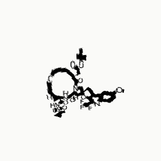 COc1ccc2nc(C(F)(F)F)c3c(c2c1)CC[C@]1(C[C@H]2C(=O)N[C@]4(C(=O)NS(=O)(=O)C5(C)CC5)C[C@H]4/C=C\CCCCC[C@H](CC(=O)OC(C)(C)C)C(=O)N2C1)O3